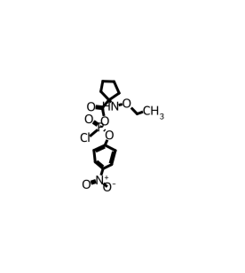 CCONC1(C(=O)OP(=O)(Cl)Oc2ccc([N+](=O)[O-])cc2)CCCC1